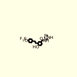 C/N=C\N(C=N)NC(=O)c1ccc(O)c(/C=C/c2ccc(OC(F)(F)F)cc2)c1